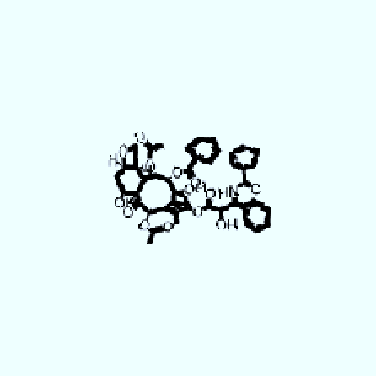 CC(=O)O[C@H]1C(=O)[C@@]2(C)[C@H](C[C@H](OC(=O)c3ccccc3)[C@]3(O)CC(OC(=O)[C@H](O)C(NC(=O)c4ccccc4)c4ccccc4)C(C)=C1C3(C)C)[C@]1(OC(C)=O)CO[C@@H]1C[C@@H]2O